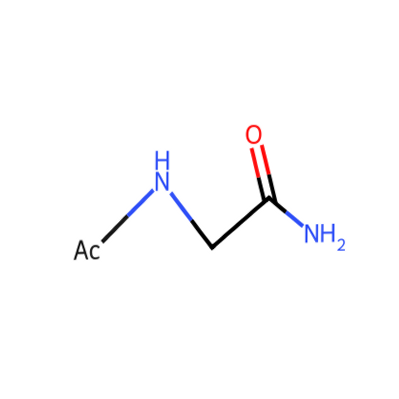 CC(=O)NCC(N)=O